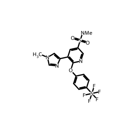 CNS(=O)(=O)c1cnc(Oc2ccc(S(F)(F)(F)(F)F)cc2)c(-c2cn(C)cn2)c1